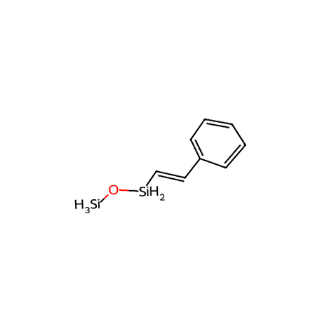 [SiH3]O[SiH2]C=Cc1ccccc1